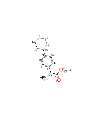 C=C(C(=O)OCCC)c1ccc(C2CCCCC2)cc1